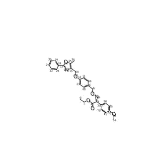 CCOC(=O)C(=NOCc1ccc(OCc2nc(-c3ccccc3)oc2C)cc1)c1ccc(OC)cc1